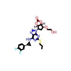 CCCSc1nc(N[C@@H]2C[C@H]2c2ccc(F)c(F)c2)c2nnn([C@@H]3C[C@H](OCCO)[C@H]4OC(=O)O[C@H]43)c2n1